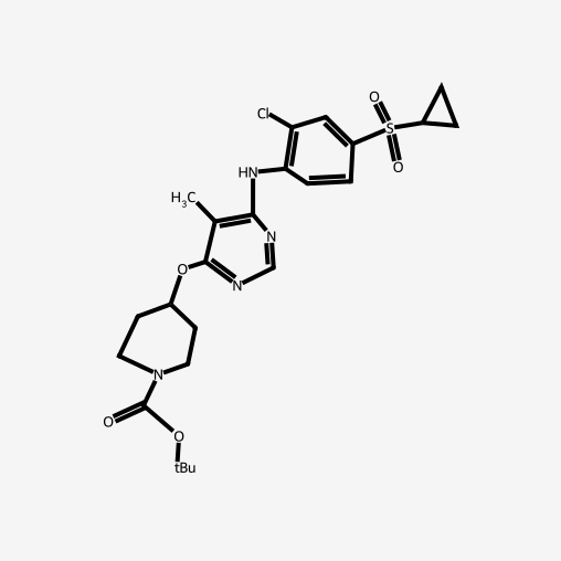 Cc1c(Nc2ccc(S(=O)(=O)C3CC3)cc2Cl)ncnc1OC1CCN(C(=O)OC(C)(C)C)CC1